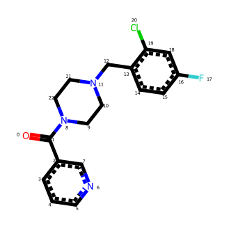 O=C(c1cccnc1)N1CCN(Cc2ccc(F)cc2Cl)CC1